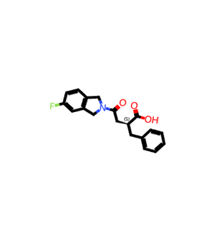 O=C(O)[C@H](CC(=O)N1Cc2ccc(F)cc2C1)Cc1ccccc1